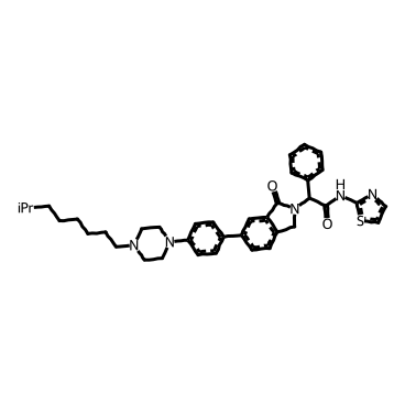 CC(C)CCCCCCN1CCN(c2ccc(-c3ccc4c(c3)C(=O)N(C(C(=O)Nc3nccs3)c3ccccc3)C4)cc2)CC1